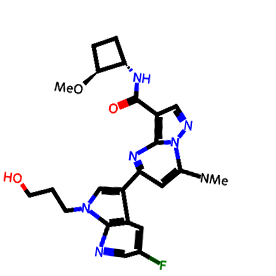 CNc1cc(-c2cn(CCCO)c3ncc(F)cc23)nc2c(C(=O)N[C@H]3CC[C@@H]3OC)cnn12